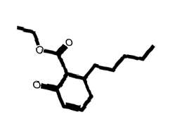 CCCCCC1CC=CC(=O)C1C(=O)OCC